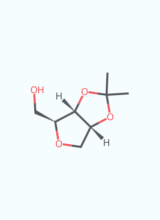 CC1(C)O[C@H]2[C@H](CO)OC[C@H]2O1